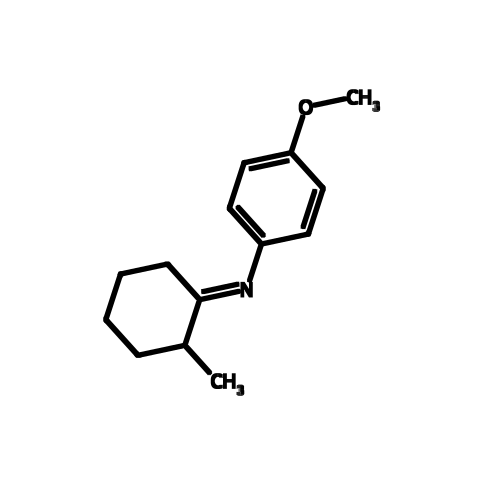 COc1ccc(/N=C2\CCCCC2C)cc1